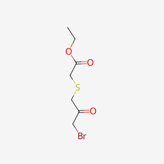 CCOC(=O)CSCC(=O)CBr